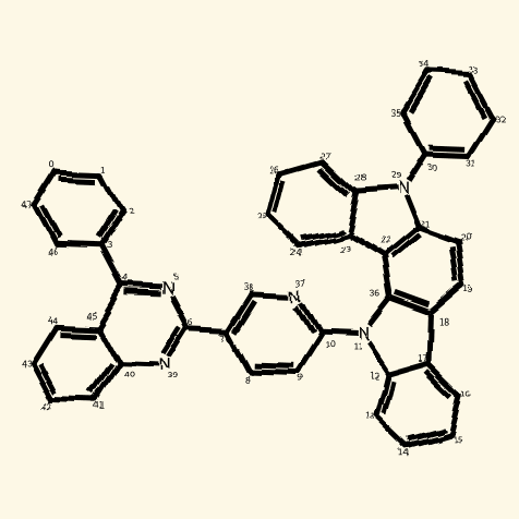 c1ccc(-c2nc(-c3ccc(-n4c5ccccc5c5ccc6c(c7ccccc7n6-c6ccccc6)c54)nc3)nc3ccccc23)cc1